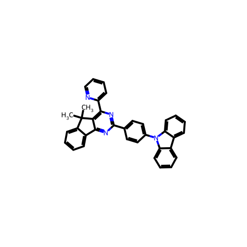 CC1(C)c2ccccc2-c2nc(-c3ccc(-n4c5ccccc5c5ccccc54)cc3)nc(-c3ccccn3)c21